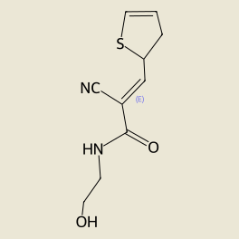 N#C/C(=C\C1CC=CS1)C(=O)NCCO